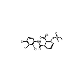 CCS(=O)(=O)Oc1cccc(C(=O)Nc2ccc(Cl)c(Cl)c2Cl)c1C(=O)O